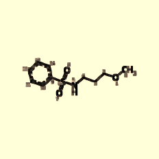 COCCCNS(=O)(=O)c1cc[c]cc1